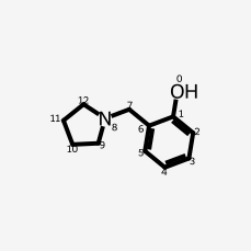 Oc1c[c]ccc1CN1CCCC1